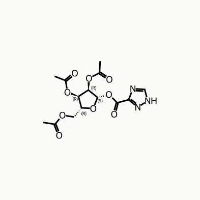 CC(=O)OC[C@H]1O[C@@H](OC(=O)c2nc[nH]n2)[C@H](OC(C)=O)[C@@H]1OC(C)=O